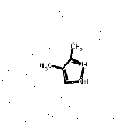 Cc1c[nH]nc1C